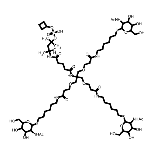 CC(=O)NC1C(SCCCCCCNC(=O)CCOCC(COCCC(=O)NCCCCCCSC2OC(CO)C(O)C(O)C2NC(C)=O)(COCCC(=O)NCCCCCCSC2OC(CO)C(O)C(O)C2NC(C)=O)NC(=O)CCCC(=O)NC(C)(C)CC(C)(C)OP(=O)(O)OC2CCC2)OC(CO)C(O)C1O